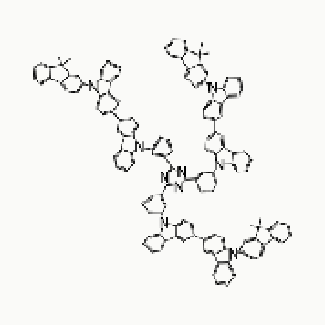 CC1(C)c2ccccc2-c2ccc(-n3c4ccccc4c4cc(-c5ccc6c(c5)c5ccccc5n6-c5cccc(-c6nc(-c7cccc(-n8c9ccccc9c9cc(-c%10ccc%11c(c%10)c%10ccccc%10n%11-c%10ccc%11c(c%10)C(C)(C)c%10ccccc%10-%11)ccc98)c7)nc(-c7cccc(-n8c9ccccc9c9cc(-c%10ccc%11c(c%10)c%10ccccc%10n%11-c%10ccc%11c(c%10)C(C)(C)c%10ccccc%10-%11)ccc98)c7)n6)c5)ccc43)cc21